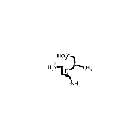 CN(C)CC(=O)O.NCCCN